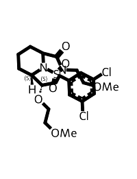 COCCO[C@H]1CN(CCOC)C(=O)C2CCC[C@@H]1N2S(=O)(=O)c1cc(Cl)cc(Cl)c1